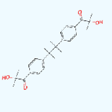 CC(C)(O)C(=O)c1ccc(C(C)(C)C(C)(C)c2ccc(C(=O)C(C)(C)O)cc2)cc1